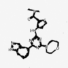 CN(C)C(=O)c1sccc1Nc1nc(-c2cccc3[nH]ncc23)nc(N2CCOCC2)n1